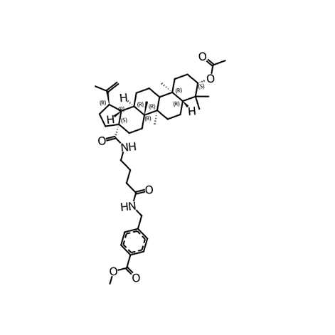 C=C(C)[C@@H]1CC[C@]2(C(=O)NCCCC(=O)NCc3ccc(C(=O)OC)cc3)CC[C@]3(C)[C@H](CCC4[C@@]5(C)CC[C@H](OC(C)=O)C(C)(C)[C@@H]5CC[C@]43C)[C@@H]12